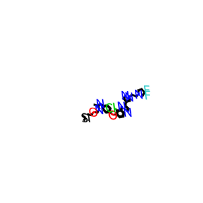 Cc1nc2ccc(Oc3ccc4ncc(-c5cnn(CCN6CCC(F)(F)C6)c5)nc4c3Cl)cc2n1COCC[Si](C)(C)C